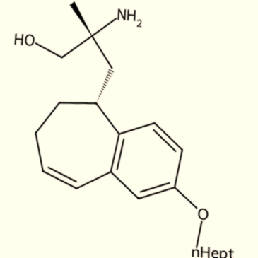 CCCCCCCOc1ccc2c(c1)C=CCC[C@@H]2C[C@@](C)(N)CO